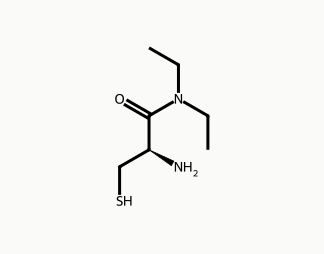 CCN(CC)C(=O)[C@@H](N)CS